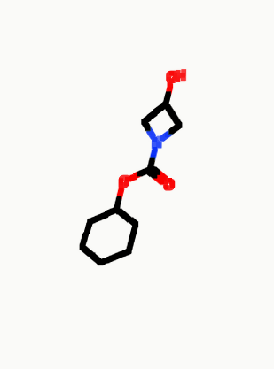 O=C(OC1CCCCC1)N1CC(O)C1